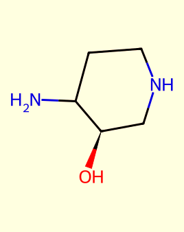 NC1CCNC[C@H]1O